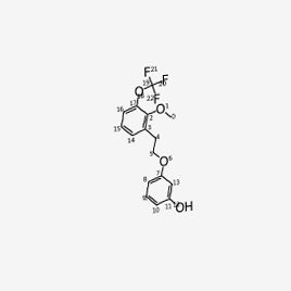 COc1c(CCOc2c[c]cc(O)c2)cccc1OC(F)(F)F